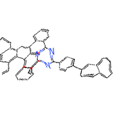 c1ccc(-c2nc(-c3ccc(-c4ccc5ccccc5c4)cc3)nc(-c3ccccc3-c3cc4c5ccccc5c5ccccc5c4c4ccccc34)n2)cc1